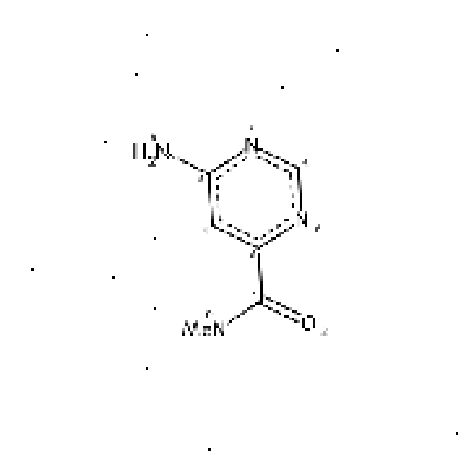 CNC(=O)c1cc(N)ncn1